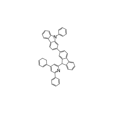 C1=CCCC(c2cc(-c3ccccc3)nc(C3c4ccccc4-c4ccc(-c5ccc6c7ccccc7n(-c7ccccc7)c6c5)cc43)c2)=C1